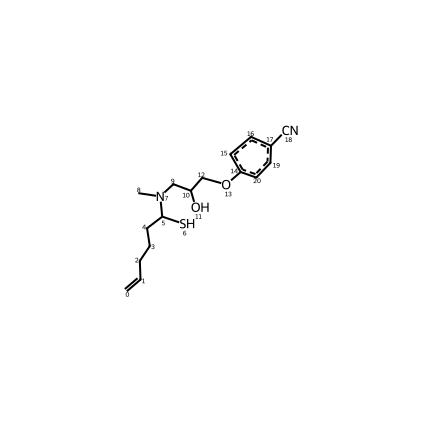 C=CCCCC(S)N(C)CC(O)COc1ccc(C#N)cc1